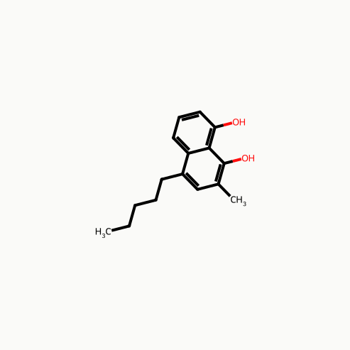 CCCCCc1cc(C)c(O)c2c(O)cccc12